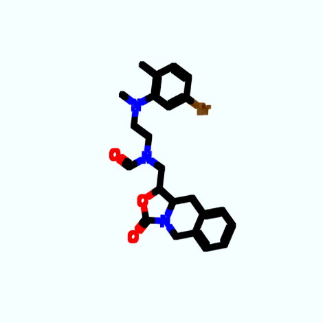 Cc1ccc(Br)cc1N(C)CCN(C=O)CC1OC(=O)N2Cc3ccccc3CC12